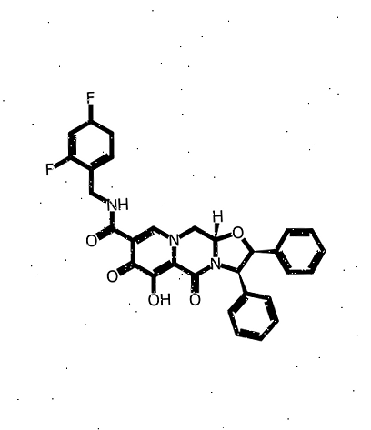 O=C(NCC1=CCC(F)C=C1F)c1cn2c(c(O)c1=O)C(=O)N1[C@H](C2)O[C@@H](c2ccccc2)[C@H]1c1ccccc1